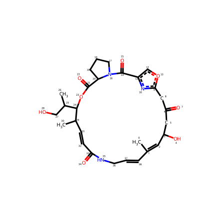 CC1=C\C(O)CC(=O)Cc2nc(co2)C(=O)N2CCCC2C(=O)OC(C(C)CO)C(C)/C=C/C(=O)NC\C=C\1